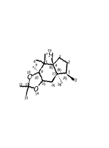 C[C@@H]1CC[C@H]2C(C)(C)[C@]3(C)OC(C)(C)OC3C[C@]12C